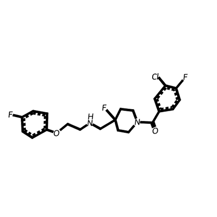 O=C(c1ccc(F)c(Cl)c1)N1CCC(F)(CNCCOc2ccc(F)cc2)CC1